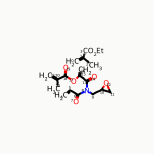 C=C(C)C(=O)OCC.C=CC(=O)N(CC1CO1)C(=O)C(=C)OC(=O)C(=C)C